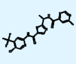 Cc1cc(C(=O)NC(C)c2ncc(C(=O)Nc3cc(C(C)(F)F)c(Cl)cn3)s2)ncn1